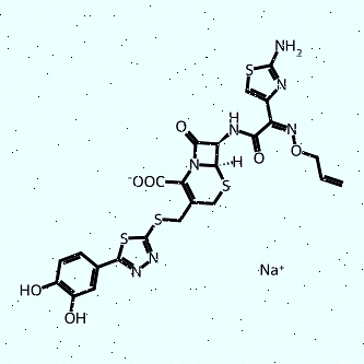 C=CCO/N=C(\C(=O)N[C@@H]1C(=O)N2C(C(=O)[O-])=C(CSc3nnc(-c4ccc(O)c(O)c4)s3)CS[C@H]12)c1csc(N)n1.[Na+]